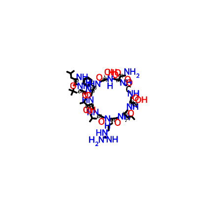 CC[C@H](C)[C@@H]1NC(=O)[C@@H](CCCNC(=N)N)NC(=O)[C@H](CC(C)C)NC(=O)[C@H]([C@H](O)C(C)C)NC(=O)[C@@H](NC(=O)[C@H](CC(C)(C)C)NC(=O)[C@H](N)CC(C)C)[C@@H](c2ccccc2)NC(=O)[C@H](CO)NC(=O)[C@H]([C@H](O)C(N)=O)NC(=O)CNC(=O)[C@H]([C@H](C)O)NC1=O